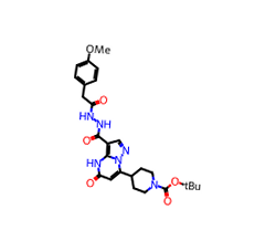 COc1ccc(CC(=O)NNC(=O)c2cnn3c(C4CCN(C(=O)OC(C)(C)C)CC4)cc(=O)[nH]c23)cc1